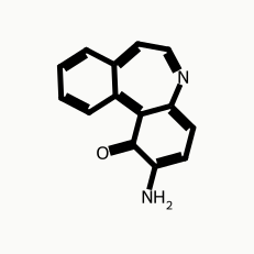 Nc1ccc2nccc3ccccc3c-2c1=O